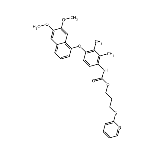 COc1cc2nccc(Oc3ccc(NC(=O)OCCCSc4ccccn4)c(C)c3C)c2cc1OC